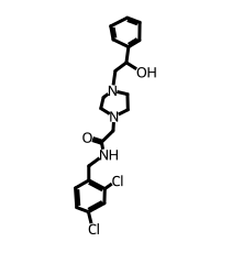 O=C(CN1CCN(CC(O)c2ccccc2)CC1)NCc1ccc(Cl)cc1Cl